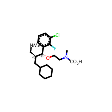 CNC[C@H](CC1CCCCC1)[C@@H](OCCN(C)C(=O)O)c1cccc(Cl)c1F